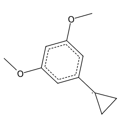 COc1cc(OC)cc([C]2CC2)c1